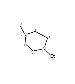 [CH2]CN1CCN(C)CC1